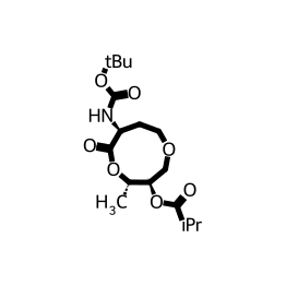 CC(C)C(=O)O[C@@H]1COCC[C@H](NC(=O)OC(C)(C)C)C(=O)O[C@H]1C